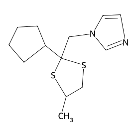 CC1CSC(Cn2ccnc2)(C2CCCC2)S1